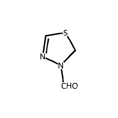 O=CN1CSC=N1